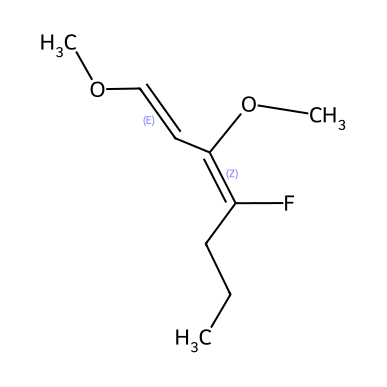 CCC/C(F)=C(\C=C\OC)OC